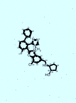 Cn1cnnc1-c1c(-c2ccccc2)ccc(F)c1-c1nc2cc(CNC3CCC[C@H]3O)cc(Cl)c2o1